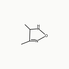 CC1=NONC1C